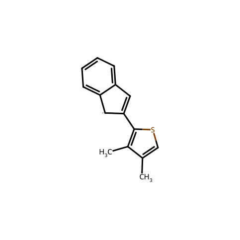 Cc1csc(C2=Cc3ccccc3[CH]2)c1C